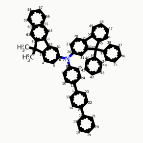 CC1(C)c2ccc(N(c3ccc(-c4ccc(-c5ccccc5)cc4)cc3)c3ccc4c(c3)C(c3ccccc3)(c3ccccc3)c3ccccc3-4)cc2-c2cc3ccccc3cc21